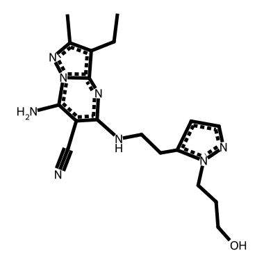 CCc1c(C)nn2c(N)c(C#N)c(NCCc3ccnn3CCCO)nc12